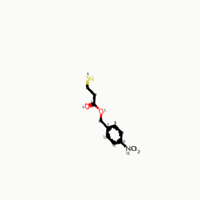 O=C(CCS)OCc1ccc([N+](=O)[O-])cc1